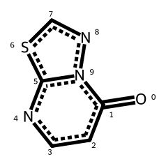 O=c1ccnc2scnn12